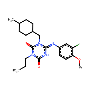 CC1CCC(Cn2c(=O)n(CCC(=O)O)c(=O)[nH]/c2=N\c2ccc(OC(C)C)c(Cl)c2)CC1